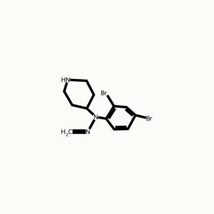 C=NN(c1ccc(Br)cc1Br)C1CCNCC1